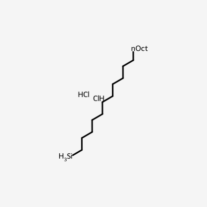 CCCCCCCCCCCCCCCCCCC[SiH3].Cl.Cl